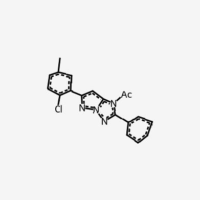 CC(=O)n1c(-c2ccccc2)nn2nc(-c3cc(C)ccc3Cl)cc12